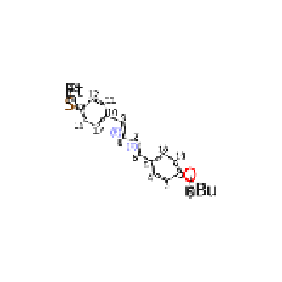 CCCCOc1ccc(/C=C/C=C/c2ccc(SCC)cc2)cc1